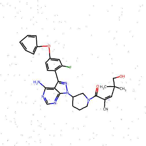 CC(C)(/C=C(/C#N)C(=O)N1CCCC(n2nc(-c3ccc(Oc4ccccc4)cc3F)c3c(N)ncnc32)C1)CO